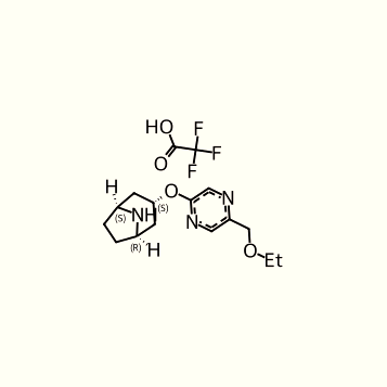 CCOCc1cnc(O[C@@H]2C[C@H]3CC[C@@H](C2)N3)cn1.O=C(O)C(F)(F)F